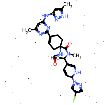 Cc1cc(Nc2cc(C)[nH]n2)nc(C2=CCC(NC=O)(C(=O)N(C)C(C)C3=CNC(n4cc(F)cn4)C=C3)CC2)n1